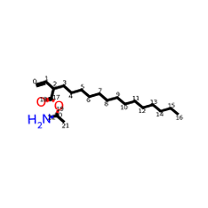 C=CC(CCCCCCCCCCCCCC)C(=O)OC(C)N